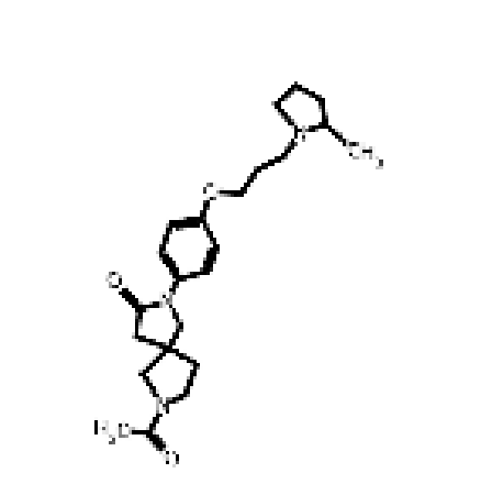 CC(=O)N1CCC2(CC(=O)N(c3ccc(OCCCN4CCCC4C)cc3)C2)C1